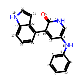 O=c1[nH]cc(Nc2ccccc2)cc1-c1cccc2[nH]ccc12